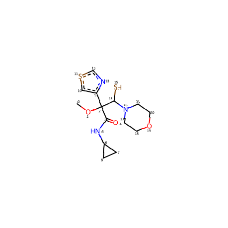 COC(C(=O)NC1CC1)(c1cscn1)C(S)N1CCOCC1